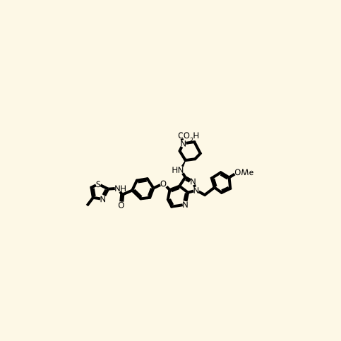 COc1ccc(Cn2nc(N[C@@H]3CCCN(C(=O)O)C3)c3c(Oc4ccc(C(=O)Nc5nc(C)cs5)cc4)ccnc32)cc1